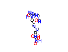 CN1CCN([C@H]2CCCN(c3cnc(C(N)=O)c(Nc4ccc(C5CCN(CC6CCCN6c6ccc7c(c6)C(=O)N(C6CCC(=O)NC6=O)C7=O)CC5)cc4)n3)C2)C1=O